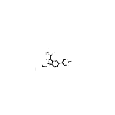 CNC(=O)c1nn(CC(=O)O)c2ccc(-c3cnc(C)nc3)cc12